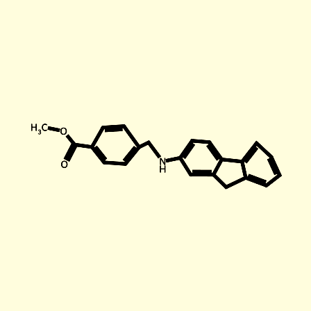 COC(=O)c1ccc(CNc2ccc3c(c2)Cc2ccccc2-3)cc1